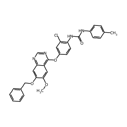 COc1cc2c(Oc3ccc(NC(=O)Nc4ccc(C)cc4)c(Cl)c3)ncnc2cc1OCc1ccccc1